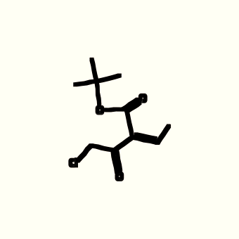 CC=C(C(=O)CCl)C(=O)OC(C)(C)C